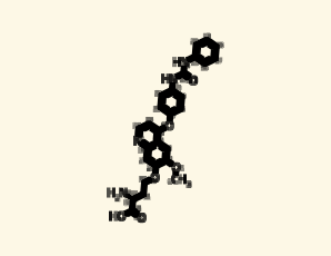 COc1cc2c(Oc3ccc(NC(=O)Nc4ccccc4)cc3)ccnc2cc1OCC[C@H](N)C(=O)O